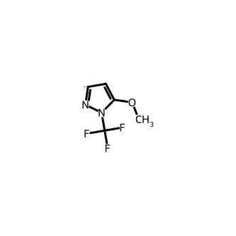 COc1c[c]nn1C(F)(F)F